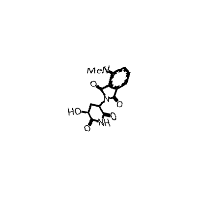 CNc1cccc2c1C(=O)N(C1CC(O)C(=O)NC1=O)C2=O